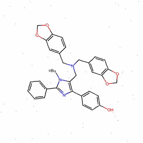 CCCCn1c(-c2ccccc2)nc(-c2ccc(O)cc2)c1CN(Cc1ccc2c(c1)OCO2)Cc1ccc2c(c1)OCO2